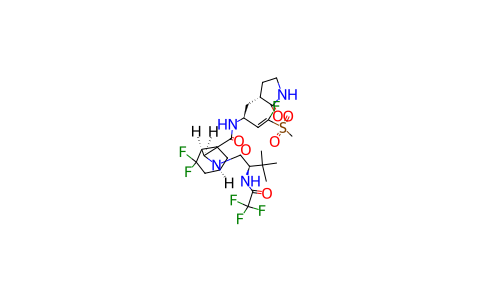 CC(C)(C)[C@@H](NC(=O)C(F)(F)F)C(=O)N1[C@H]2CC[C@@H]([C@H]1C(=O)N[C@H](/C=C(\F)S(C)(=O)=O)C[C@@H]1CCNC1=O)C(F)(F)C2